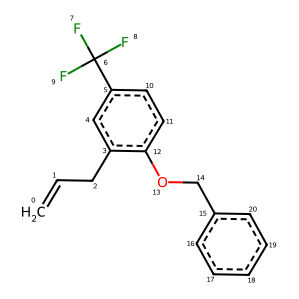 C=CCc1cc(C(F)(F)F)ccc1OCc1ccccc1